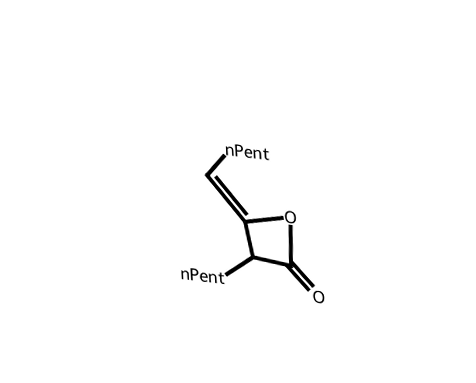 CCCCCC=C1OC(=O)C1CCCCC